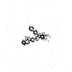 Nc1c(Cl)cc(C[C@@H](CC(=O)N2CCC(N3CCc4ccccc4NC3=O)CC2)C(=O)N2CCC(N3CCCCCC3)CC2)cc1C(F)(F)F